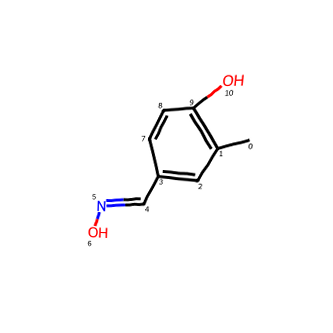 Cc1cc(C=NO)ccc1O